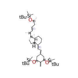 C=C1[C@H](O[Si](C)(C)C(C)(C)C)CC(=C/C=C2\CCC[C@]3(C)[C@@H]([C@H](C)/C=C/C[C@@H](C)O[Si](C)(C)C(C)(C)C)CC[C@@H]23)C[C@H]1O[Si](C)(C)C(C)(C)C